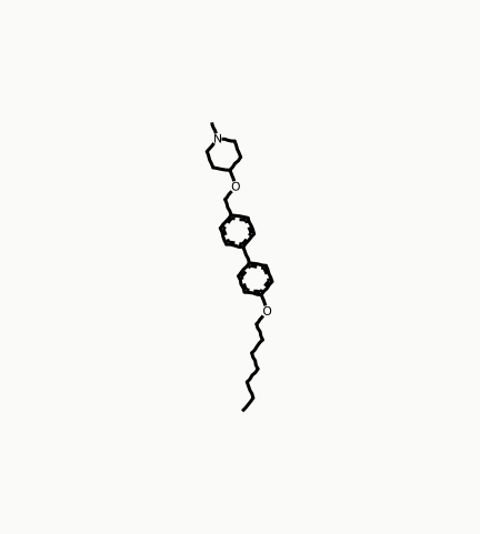 CCCCCCCOc1ccc(-c2ccc(COC3CCN(C)CC3)cc2)cc1